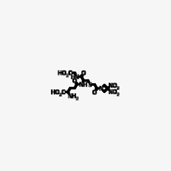 NC(CCC(=O)NC(CSCC(=O)N1CC([N+](=O)[O-])([N+](=O)[O-])C1)C(=O)NCC(=O)O)C(=O)O